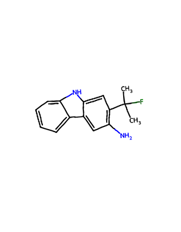 CC(C)(F)c1cc2[nH]c3ccccc3c2cc1N